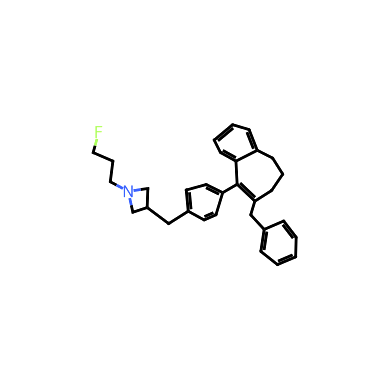 FCCCN1CC(Cc2ccc(C3=C(Cc4ccccc4)CCCc4ccccc43)cc2)C1